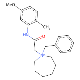 COc1ccc(C)c(NC(=O)C[N+]2(Cc3ccccc3)CCCCCC2)c1